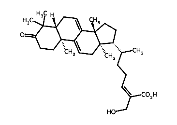 CC(CC/C=C(/CO)C(=O)O)[C@H]1CC[C@@]2(C)C3=CC[C@H]4C(C)(C)C(=O)CC[C@]4(C)C3=CC[C@]12C